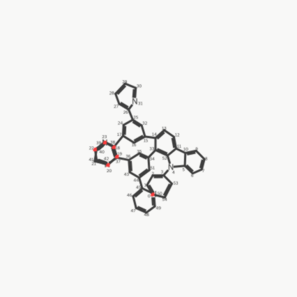 c1ccc(-n2c3ccccc3c3ccc(-c4cc(-c5ccccn5)cc(-c5ccccn5)c4)c(-c4cc(-c5ccccn5)cc(-c5ccccn5)c4)c32)cc1